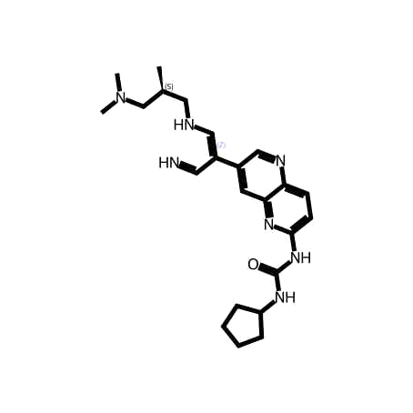 C[C@@H](CN/C=C(\C=N)c1cnc2ccc(NC(=O)NC3CCCC3)nc2c1)CN(C)C